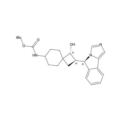 CC(C)(C)OC(=O)NC1CCC2(CC1)C[C@H]([C@@H]1c3ccccc3-c3cncn31)[C@H]2O